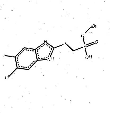 CCC(C)OP(=O)(O)CSc1nc2cc(I)c(Cl)cc2[nH]1